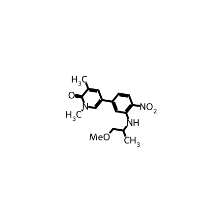 COCC(C)Nc1cc(-c2cc(C)c(=O)n(C)c2)ccc1[N+](=O)[O-]